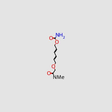 CNC(=O)COC/C=C/C=C/COC(N)=O